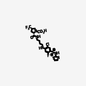 O=C(NCCCCNc1cc(F)c(S(=O)(=O)Nc2nccs2)cc1Cl)[C@@H]1C[C@H](C(F)(F)F)CN1C(=O)O